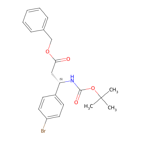 CC(C)(C)OC(=O)N[C@@H](CC(=O)OCc1ccccc1)c1ccc(Br)cc1